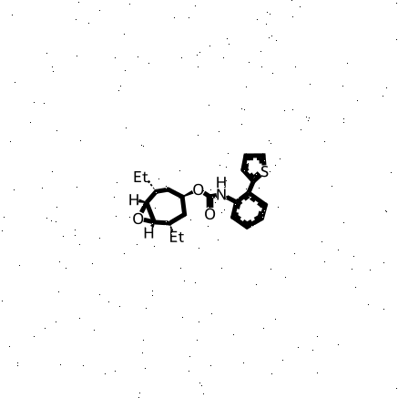 CC[C@@H]1C[C@@H](OC(=O)Nc2ccccc2-c2cccs2)C[C@H](CC)[C@@H]2O[C@H]12